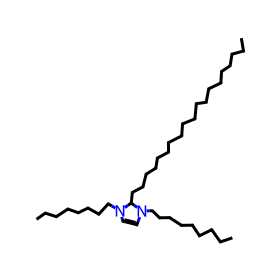 CCCCCCCCCCCCCCCCCCCC1N(CCCCCCCC)C=CN1CCCCCCCCC